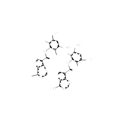 COc1cc(OC)c(F)c(NC(=O)c2csc3c(Cl)ncnc23)c1F.COc1cc(OC)c(F)c(NC(=O)c2csc3c(N)ncnc23)c1F